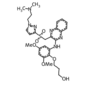 COc1cc(Nc2nc3ccccc3nc2CS(=O)(=O)c2ccn(CCN(C)C)n2)c(OCCCO)c(OC)c1